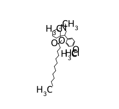 CCCCCCCCCCCCC(=O)OC1(C(CN(C)C)c2ccc(OC)cc2)CCCCC1.Cl